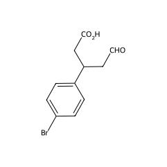 O=CCC(CC(=O)O)c1ccc(Br)cc1